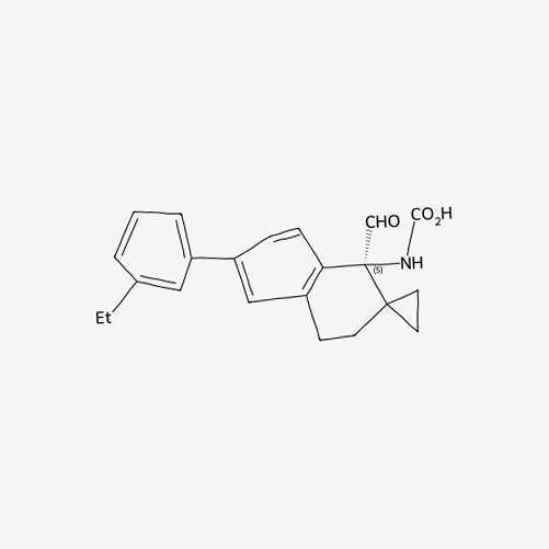 CCc1cccc(-c2ccc3c(c2)CCC2(CC2)[C@]3(C=O)NC(=O)O)c1